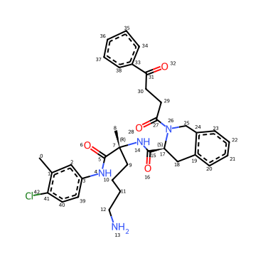 Cc1cc(NC(=O)[C@@](C)(CCCCN)NC(=O)[C@@H]2Cc3ccccc3CN2C(=O)CCC(=O)c2ccccc2)ccc1Cl